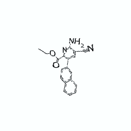 CCOC(=O)c1nc(N)c(C#N)cc1-c1ccc2ccccc2c1